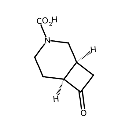 O=C1C[C@@H]2CN(C(=O)O)CC[C@H]12